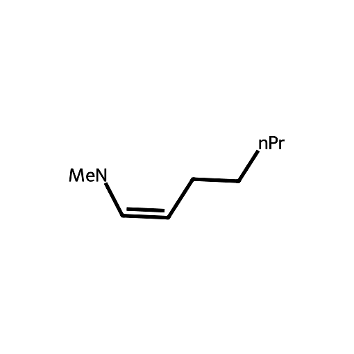 CCCCC/C=C\NC